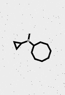 [CH2]N(C1CCCCCCC1)C1CC1